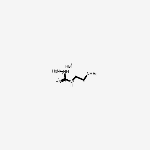 Br.CC(=O)NCCNC(=N)NN